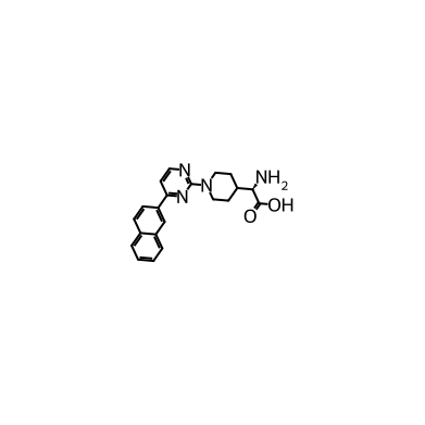 N[C@@H](C(=O)O)C1CCN(c2nccc(-c3ccc4ccccc4c3)n2)CC1